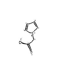 O=C(Cl)C[SH]1C=CC=C1